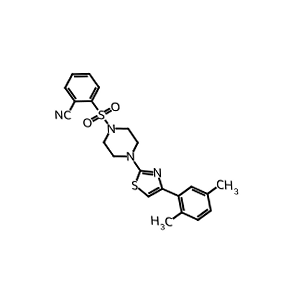 Cc1ccc(C)c(-c2csc(N3CCN(S(=O)(=O)c4ccccc4C#N)CC3)n2)c1